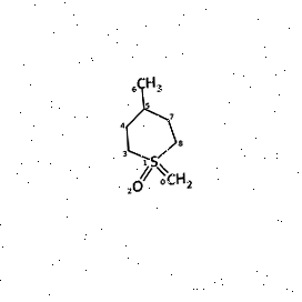 C=S1(=O)CCC(C)CC1